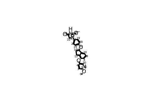 COc1ccc(Oc2cccc3c2CC[C@H]3Oc2ccc(N3CC(=O)N[S+]3[O-])cc2)cn1